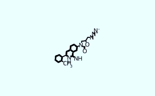 [N-]=[N+]=NCC1CN(c2ccc3cc(-c4ccccc4C(F)(F)F)[nH]c(=N)c3c2)C(=O)O1